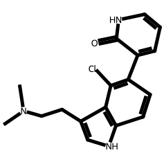 CN(C)CCc1c[nH]c2ccc(-c3ccc[nH]c3=O)c(Cl)c12